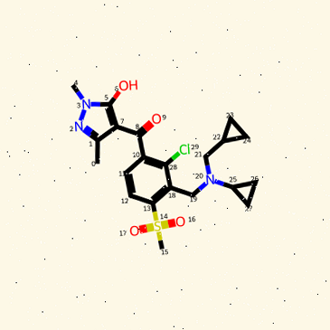 Cc1nn(C)c(O)c1C(=O)c1ccc(S(C)(=O)=O)c(CN(CC2CC2)C2CC2)c1Cl